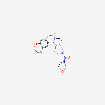 CCN(CC1CCN(C(=O)N2CCOCC2)CC1)C(C)Cc1ccc2c(c1)OCCO2